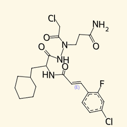 NC(=O)CCN(NC(=O)C(CC1CCCCC1)NC(=O)/C=C/c1ccc(Cl)cc1F)C(=O)CCl